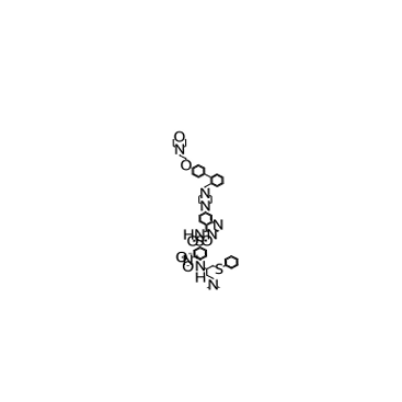 CN(C)CCC(CSc1ccccc1)Nc1ccc(S(=O)(=O)Nc2ncnc3cc(N4CCN(Cc5ccccc5-c5ccc(OCCN6CCOCC6)cc5)CC4)ccc23)cc1[N+](=O)[O-]